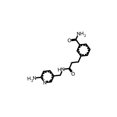 NC(=O)c1cccc(C[CH]C(=O)NCc2ccc(N)nc2)c1